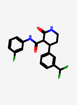 O=C1NCCC(c2cccc(C(F)F)c2)C1C(=O)Nc1cccc(F)c1